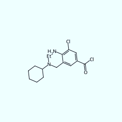 CCN(Cc1cc(C(=O)Cl)cc(Cl)c1N)C1CCCCC1